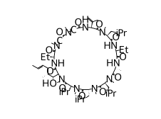 C=C(C)[C@@H]1NC(=O)CN(C)C(=O)CN(C)C(=O)[C@H](CC)NC(=O)[C@H]([C@H](O)[C@H](C)C/C=C/C)N(C)C(=O)[C@H](C(C)C)N(C)C(=O)[C@@H](CC(C)C)N(C)C(=O)[C@H](CC(C)C)N(C)C(=O)[C@@H](C)NC(=O)C(CC)NC(=O)[C@H](CC(C)C)N(C)C1=O